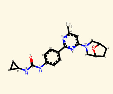 O=C(Nc1ccc(-c2nc(N3CC4CCC(C3)O4)cc(C(F)(F)F)n2)cc1)NC1CC1